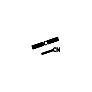 C=C=C.CC#N